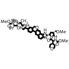 CC[C@H](C)N(C(=O)[C@@H](NC(=O)OC)C(C)C)[C@@H](C)c1ncc(-c2ccc3c(c2)COc2cc4c(ccc5nc([C@@H]6C[C@H](COC)CN6C(=O)[C@@H](NC(=O)OC)C6CCOCC6)[nH]c54)cc2-3)[nH]1